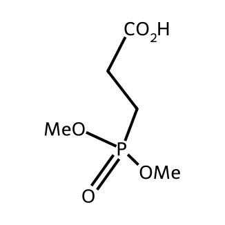 COP(=O)(CCC(=O)O)OC